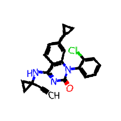 C#CC1(Nc2nc(=O)n(-c3ccccc3Cl)c3cc(C4CC4)ccc23)CC1